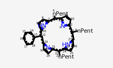 CCCCCc1c2nc(c(CCCCC)c3ccc([nH]3)c(-c3ccccc3)c3nc(c(CCCCC)c4ccc1[nH]4)C=C3)C=C2